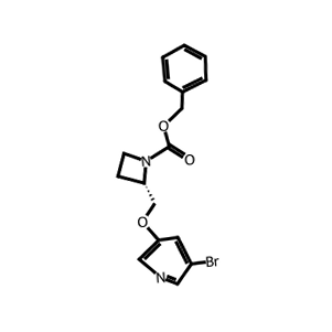 O=C(OCc1ccccc1)N1CC[C@H]1COc1cncc(Br)c1